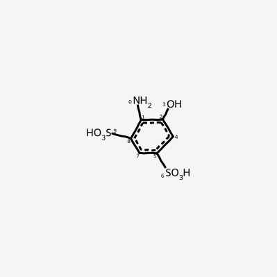 Nc1c(O)cc(S(=O)(=O)O)cc1S(=O)(=O)O